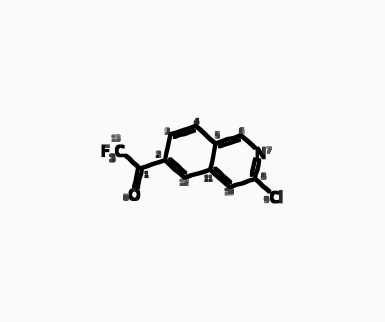 O=C(c1ccc2cnc(Cl)cc2c1)C(F)(F)F